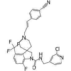 N#Cc1ccc(C=CCN2CCC3(CC2)CN(C(=O)NCc2ccnc(Cl)c2)c2c(F)ccc(C(F)(F)F)c23)cc1